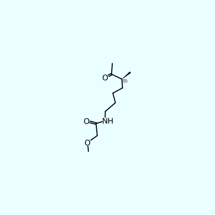 COCC(=O)NCCCC[C@H](C)C(C)=O